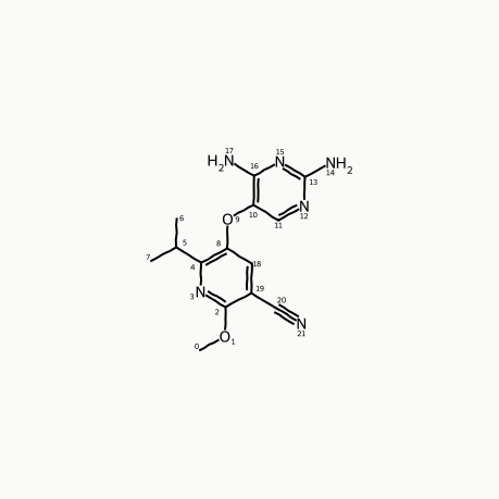 COc1nc(C(C)C)c(Oc2cnc(N)nc2N)cc1C#N